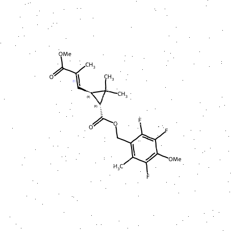 COC(=O)/C(C)=C/[C@@H]1[C@@H](C(=O)OCc2c(C)c(F)c(OC)c(F)c2F)C1(C)C